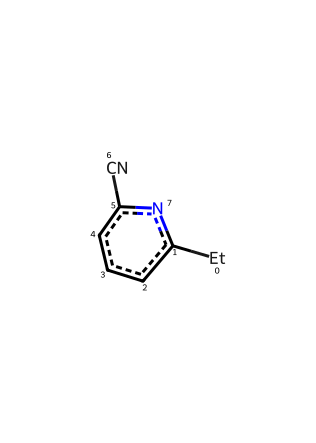 CCc1cccc(C#N)n1